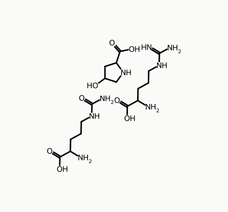 N=C(N)NCCCC(N)C(=O)O.NC(=O)NCCCC(N)C(=O)O.O=C(O)C1CC(O)CN1